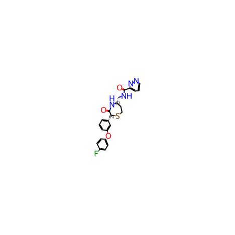 O=C(NC[C@@H]1CCS[C@H](c2cccc(Oc3ccc(F)cc3)c2)C(=O)N1)c1cccnn1